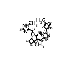 Cc1cc(-c2nnc3cc(C4(C)CCC4)c(OCc4ncnn4C)nn23)no1